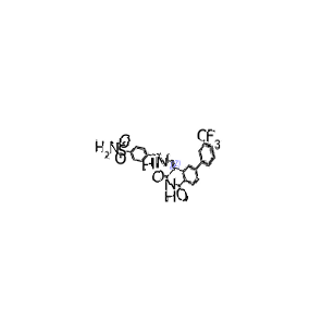 NS(=O)(=O)c1ccc(CN/C=C2\C(=O)NC(=O)c3ccc(-c4cccc(C(F)(F)F)c4)cc32)cc1